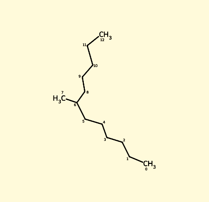 CCCCCCC(C)CCCCC